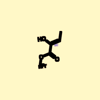 C/C=C(\O)C(=O)OCCC